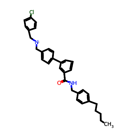 CCCCCc1ccc(CNC(=O)c2cccc(-c3ccc(C[N]Cc4ccc(Cl)cc4)cc3)c2)cc1